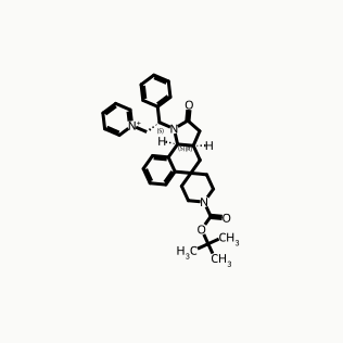 CC(C)(C)OC(=O)N1CCC2(CC1)C[C@@H]1CC(=O)N([C@H](C[n+]3ccccc3)c3ccccc3)[C@@H]1c1ccccc12